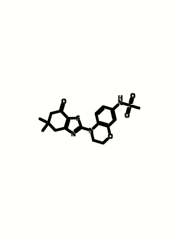 CC1(C)CC(=O)c2sc(N3CCOc4cc(NS(C)(=O)=O)ccc43)nc2C1